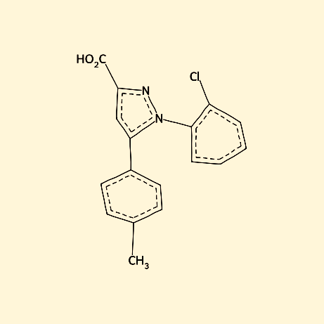 Cc1ccc(-c2cc(C(=O)O)nn2-c2ccccc2Cl)cc1